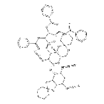 [N-]=[N+]=NC1CC(N=[N+]=[N-])[C@@H](O[C@H]2OC3COC4(CCCCC4)O[C@H]3C(O[C@@H]3O[C@H](COC(=O)c4ccccc4)C(OC(=O)c4ccccc4)C3OC(=O)c3ccccc3)C2N=[N+]=[N-])C2OC3(CCCCC3)OC12